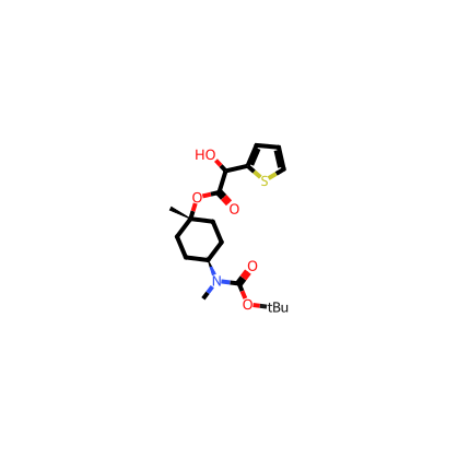 CN(C(=O)OC(C)(C)C)[C@H]1CC[C@](C)(OC(=O)C(O)c2cccs2)CC1